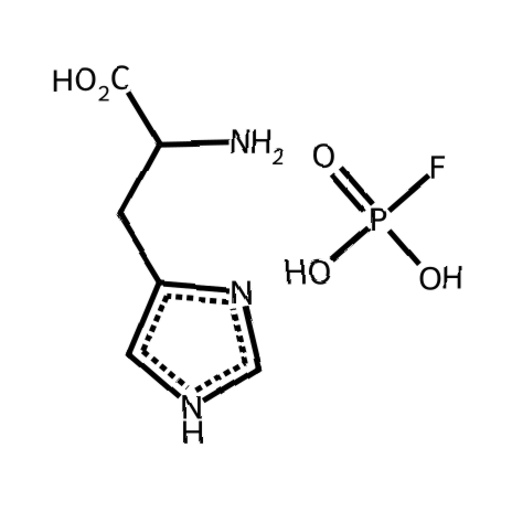 NC(Cc1c[nH]cn1)C(=O)O.O=P(O)(O)F